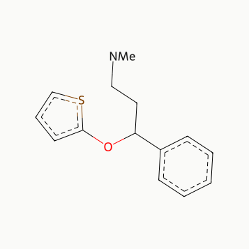 CNCCC(Oc1cccs1)c1ccccc1